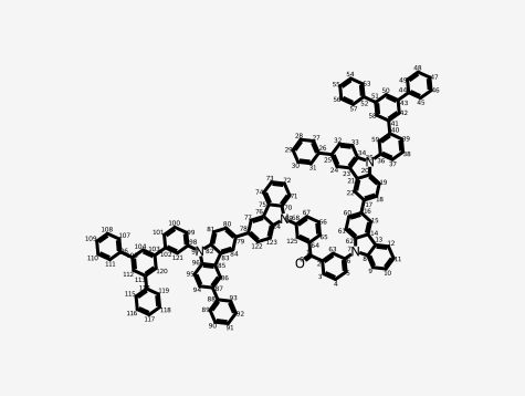 O=C(c1cccc(-n2c3ccccc3c3cc(-c4ccc5c(c4)c4cc(-c6ccccc6)ccc4n5-c4cccc(-c5cc(-c6ccccc6)cc(-c6ccccc6)c5)c4)ccc32)c1)c1cccc(-n2c3ccccc3c3cc(-c4ccc5c(c4)c4cc(-c6ccccc6)ccc4n5-c4cccc(-c5cc(-c6ccccc6)cc(-c6ccccc6)c5)c4)ccc32)c1